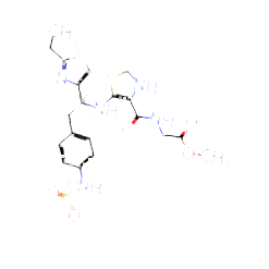 CCc1nc([C@H](Cc2ccc(N[SH](=O)=O)cc2)NC2=C(C(=O)NCC(=O)OC)NCS2)cs1